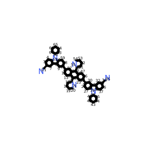 N#Cc1ccc2c(c1)c1cc(-c3ccc4c(-c5ccccn5)c5cc(-c6ccc7c(c6)c6cc(C#N)ccc6n7-c6ccccc6)ccc5c(-c5ccccn5)c4c3)ccc1n2-c1ccccc1